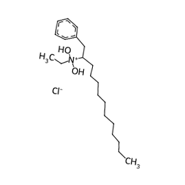 CCCCCCCCCCCC(Cc1ccccc1)[N+](O)(O)CC.[Cl-]